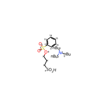 CCCCN(CCCC)CCCC.O=S(=O)(O)CCCOS(=O)(=O)c1ccccc1